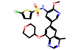 COc1ncc(-c2cc(OC3CCOCC3)c3ncnc(C)c3c2)cc1NS(=O)(=O)c1ccc(Cl)s1